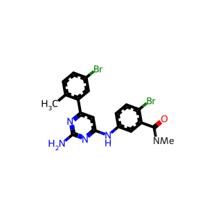 CNC(=O)c1cc(Nc2cc(-c3cc(Br)ccc3C)nc(N)n2)ccc1Br